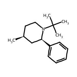 C[C@H]1CCN(C(C)(C)C)[C@@H](c2ccccc2)C1